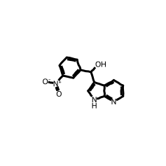 O=[N+]([O-])c1cccc(C(O)c2c[nH]c3ncccc23)c1